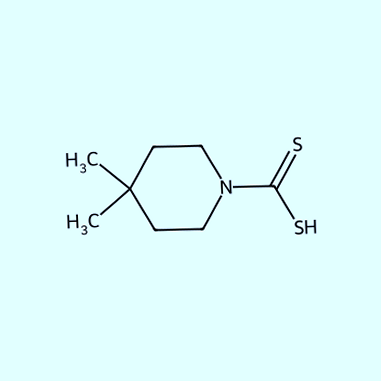 CC1(C)CCN(C(=S)S)CC1